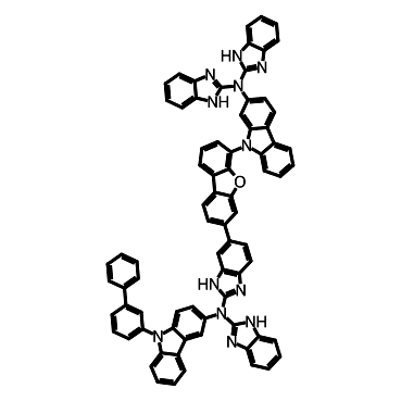 c1ccc(-c2cccc(-n3c4ccccc4c4cc(N(c5nc6ccccc6[nH]5)c5nc6ccc(-c7ccc8c(c7)oc7c(-n9c%10ccccc%10c%10ccc(N(c%11nc%12ccccc%12[nH]%11)c%11nc%12ccccc%12[nH]%11)cc%109)cccc78)cc6[nH]5)ccc43)c2)cc1